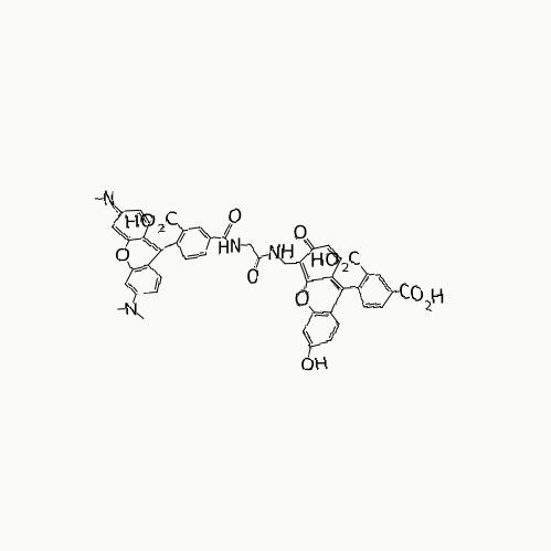 C/N=c1/ccc2c(-c3ccc(C(=O)NCC(=O)NCc4c5oc6cc(O)ccc6c(-c6ccc(C(=O)O)cc6C(=O)O)c-5ccc4=O)cc3C(=O)O)c3ccc(N(C)C)cc3oc-2c1